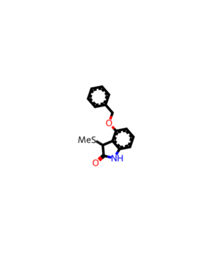 CSC1C(=O)Nc2cccc(OCc3ccccc3)c21